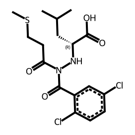 CSCCC(=O)N(N[C@H](CC(C)C)C(=O)O)C(=O)c1cc(Cl)ccc1Cl